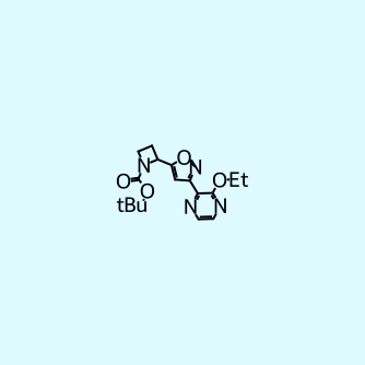 CCOc1nccnc1-c1cc(C2CCN2C(=O)OC(C)(C)C)on1